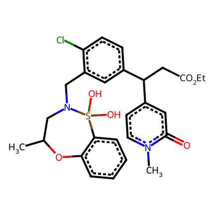 CCOC(=O)CC(c1ccc(Cl)c(CN2CC(C)Oc3ccccc3S2(O)O)c1)c1ccn(C)c(=O)c1